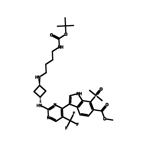 COC(=O)c1ccc2c(-c3nc(N[C@H]4C[C@H](NCCCCNC(=O)OC(C)(C)C)C4)ncc3C(F)(F)F)c[nH]c2c1P(C)(C)=O